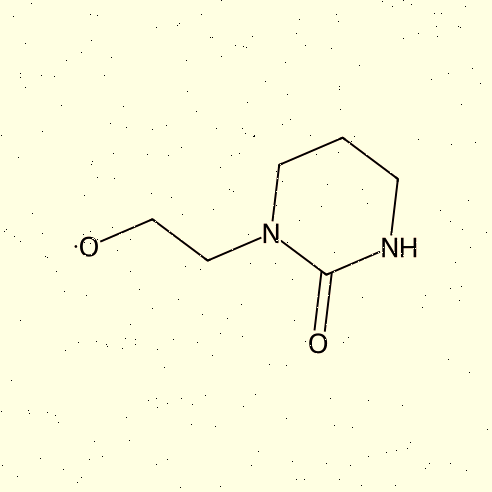 [O]CCN1CCCNC1=O